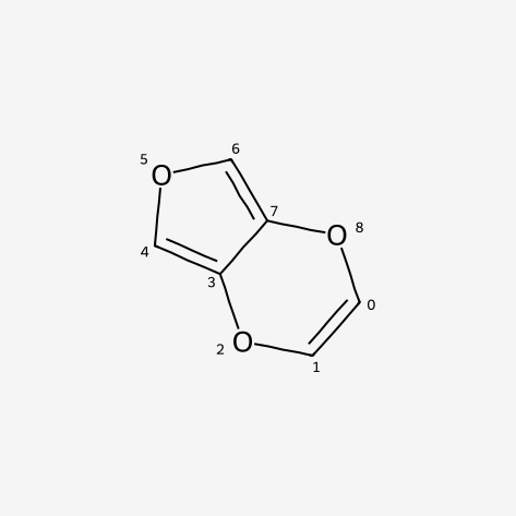 C1=COc2cocc2O1